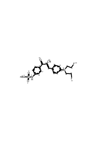 CCCCS(=O)(=O)Nc1ccc(C(=O)C(C#N)=Cc2ccc(N(CCF)CCF)cc2)cc1